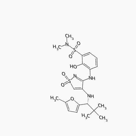 Cc1ccc([C@H](NC2=CS(=O)(=O)N=C2Nc2cccc(S(=O)(=O)N(C)C)c2O)C(C)(C)C)o1